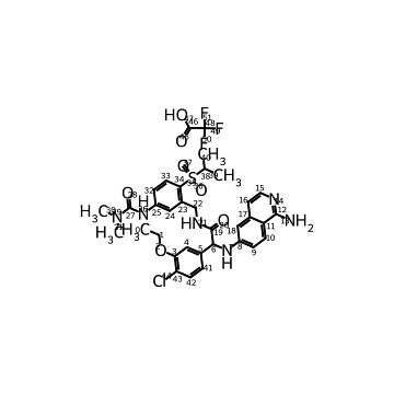 CCOc1cc(C(Nc2ccc3c(N)nccc3c2)C(=O)NCc2cc(NC(=O)N(C)C)ccc2S(=O)(=O)C(C)C)ccc1Cl.O=C(O)C(F)(F)F